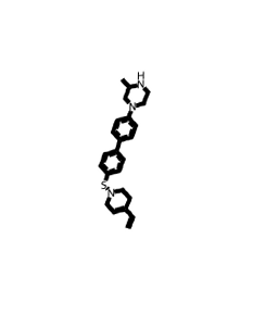 C=CC1=CCN(Sc2ccc(-c3ccc(N4CCNC(C)C4)cc3)cc2)CC1